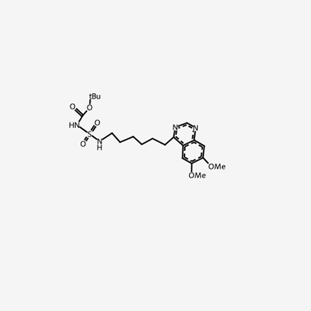 COc1cc2ncnc(CCCCCCNS(=O)(=O)NC(=O)OC(C)(C)C)c2cc1OC